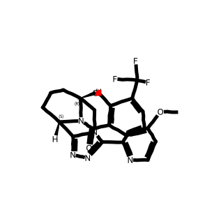 COc1ccnc(-c2nnc3n2C[C@H]2CCC[C@@H]3N2C(=O)c2cccc(C(F)(F)F)c2Cl)c1